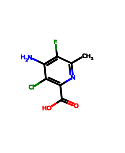 Cc1nc(C(=O)O)c(Cl)c(N)c1F